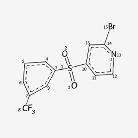 O=S(=O)(c1cccc(C(F)(F)F)c1)c1ccnc(Br)c1